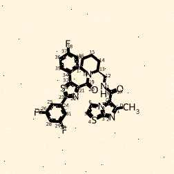 Cc1nc2sccn2c1C(=O)NC[C@@H]1CCCCN1C(=O)c1nc(-c2cc(F)cc(F)c2)sc1-c1ccc(F)cc1